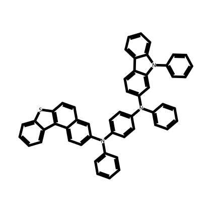 c1ccc(N(c2ccc(N(c3ccccc3)c3ccc4c5ccccc5n(-c5ccccc5)c4c3)cc2)c2ccc3c(ccc4sc5ccccc5c43)c2)cc1